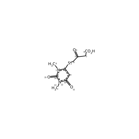 Cn1c(SCC(=O)CC(=O)O)cc(=O)n(C)c1=O